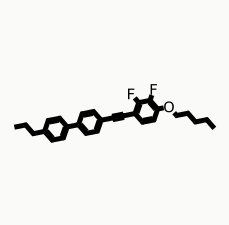 CCCCCOc1ccc(C#Cc2ccc(-c3ccc(CCC)cc3)cc2)c(F)c1F